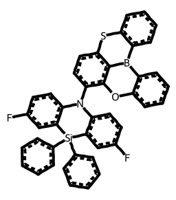 Fc1ccc2c(c1)[Si](c1ccccc1)(c1ccccc1)c1cc(F)ccc1N2c1ccc2c3c1Oc1ccccc1B3c1ccccc1S2